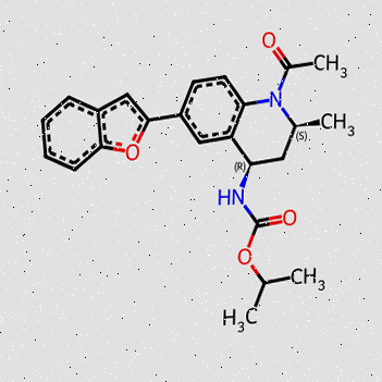 CC(=O)N1c2ccc(-c3cc4ccccc4o3)cc2[C@H](NC(=O)OC(C)C)C[C@@H]1C